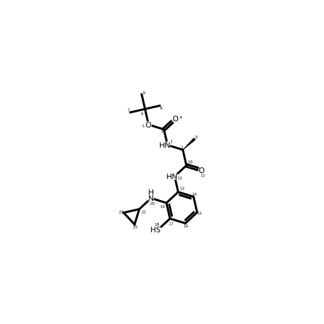 C[C@H](NC(=O)OC(C)(C)C)C(=O)Nc1cccc(S)c1NC1CC1